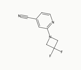 N#Cc1ccnc(N2CC(F)(F)C2)c1